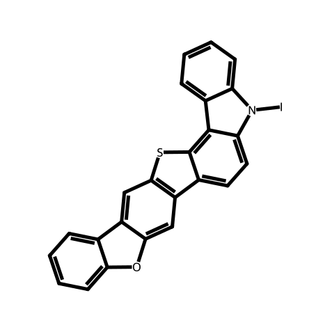 In1c2ccccc2c2c3sc4cc5c(cc4c3ccc21)oc1ccccc15